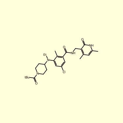 CCN(c1cc(Cl)cc(C(=O)NCc2c(C)cc(C)[nH]c2=O)c1C)C1CCN(C(=O)C(C)(C)C)CC1